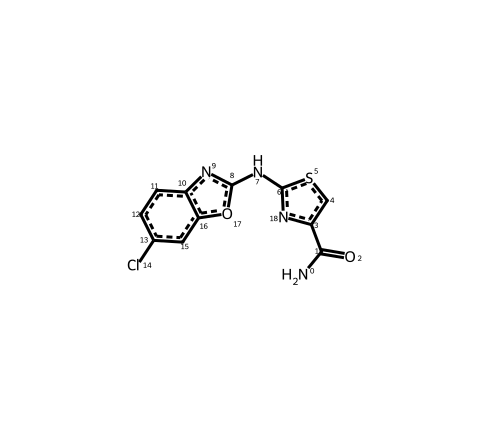 NC(=O)c1csc(Nc2nc3ccc(Cl)cc3o2)n1